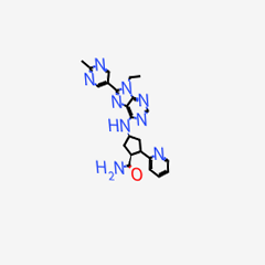 CCn1c(-c2cnc(C)nc2)nc2c(N[C@@H]3CC(c4ccccn4)[C@@H](C(N)=O)C3)ncnc21